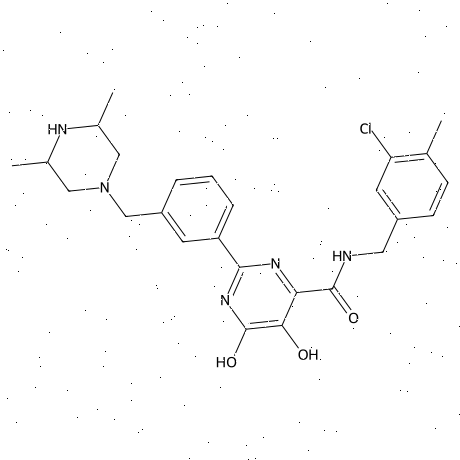 Cc1ccc(CNC(=O)c2nc(-c3cccc(CN4CC(C)NC(C)C4)c3)nc(O)c2O)cc1Cl